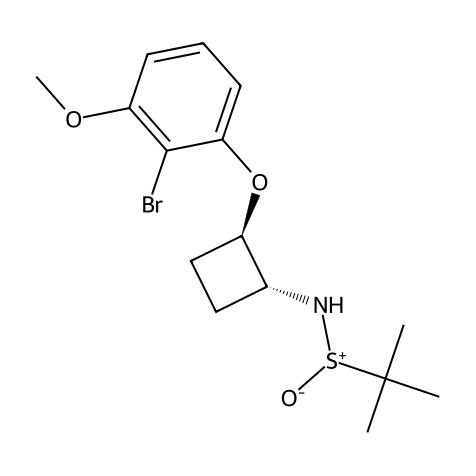 COc1cccc(O[C@@H]2CC[C@H]2N[S+]([O-])C(C)(C)C)c1Br